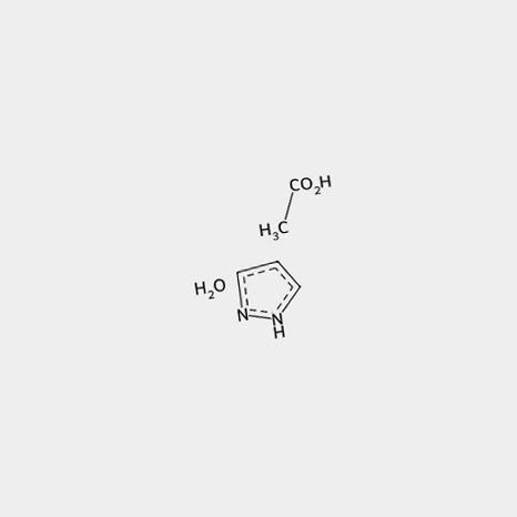 CC(=O)O.O.c1cn[nH]c1